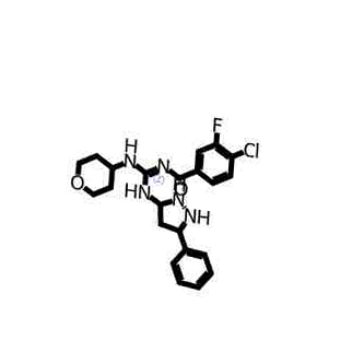 O=C(/N=C(/NC1CCOCC1)NC1CC(c2ccccc2)NN1)c1ccc(Cl)c(F)c1